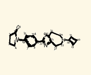 O=C1CCCN1c1ccc(-c2nc3c(s2)CCN(C2=CC=C2)CC3)cc1